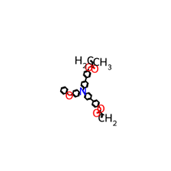 C=CC(=O)Oc1ccc(-c2ccc(N(c3ccc(Oc4ccccc4)cc3)c3ccc(-c4ccc(OC(=O)C(=C)C)cc4)cc3)cc2)cc1